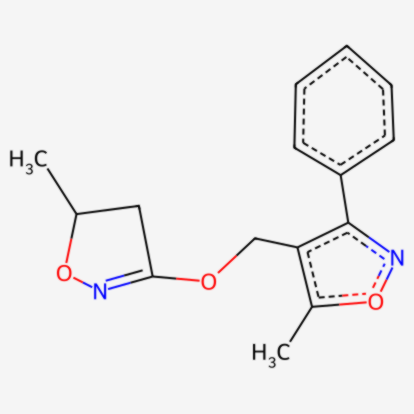 Cc1onc(-c2ccccc2)c1COC1=NOC(C)C1